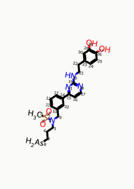 CS(=O)(=O)N(CCC[AsH2])Cc1cccc(-c2ccnc(NCCc3ccc(O)c(O)c3)n2)c1